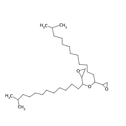 CC(C)CCCCCCCCCCC(OC(CCCCCCCCCCC(C)C)C1CO1)C1CO1